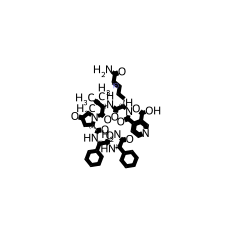 CC(C)(C)[C@H](NC(=O)[C@H](CC/C=C/C(N)=O)NC(=O)c1ccncc1C(=O)O)C(=O)N1CC(=O)C[C@H]1C(=O)N[C@H](C(=O)N[C@H](C(N)=O)C1CCCCC1)C1CCCCC1